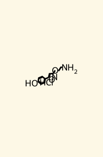 Cl.NCCOc1cc(-c2ccc(O)cc2)on1